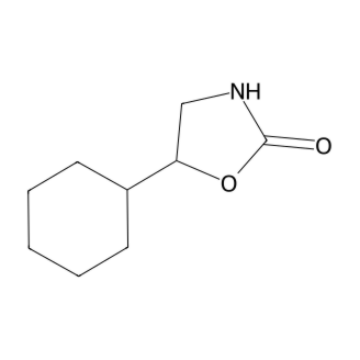 O=C1NCC(C2CCCCC2)O1